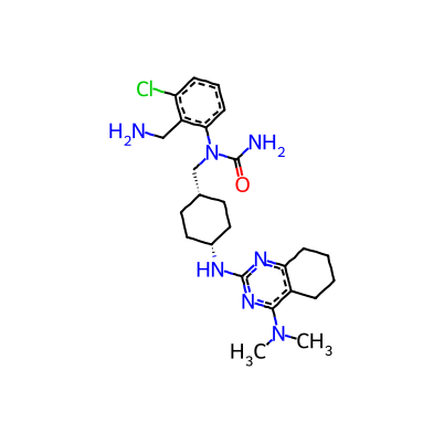 CN(C)c1nc(N[C@H]2CC[C@@H](CN(C(N)=O)c3cccc(Cl)c3CN)CC2)nc2c1CCCC2